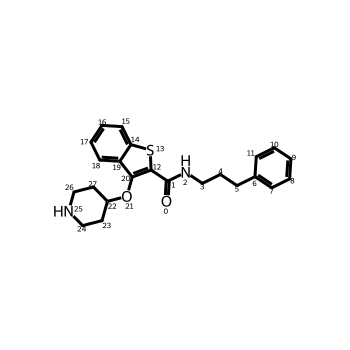 O=C(NCCCc1ccccc1)c1sc2ccccc2c1OC1CCNCC1